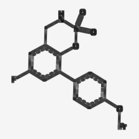 CC(C)Oc1ccc(-c2cc(F)cc3c2OS(=O)(=O)NC3)cc1